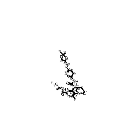 Cc1nc(C(=O)N[C@H](C)C(F)(F)F)nc2c1N1CCC[C@@H](C1)N2C(=O)Nc1ccc(OC[C@@H]2COC(C)(C)O2)nn1